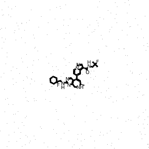 C[C@@H]1C=C(c2ccn3ncc(C(=O)NCC(C)(C)F)c3c2)c2cnc(NCC3(F)CCCCC3)nc2CN1